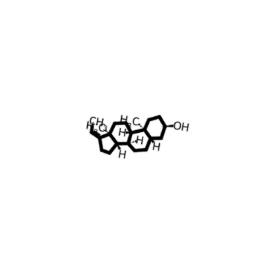 C/C=C1/CC[C@H]2[C@@H]3CC[C@H]4C[C@H](O)CC[C@]4(C)[C@H]3CC[C@]12C